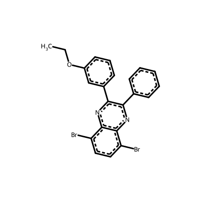 CCOc1cccc(-c2nc3c(Br)ccc(Br)c3nc2-c2ccccc2)c1